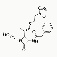 CC(=CSCCC(=O)OCC(C)C)C1C(NC(=O)Cc2ccccc2)C(=O)N1CC(=O)O